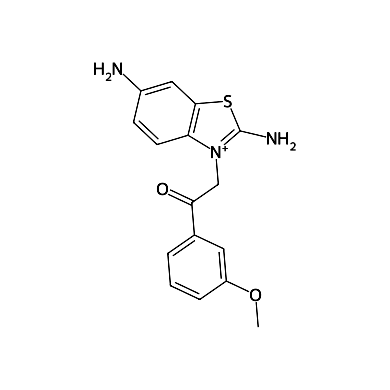 COc1cccc(C(=O)C[n+]2c(N)sc3cc(N)ccc32)c1